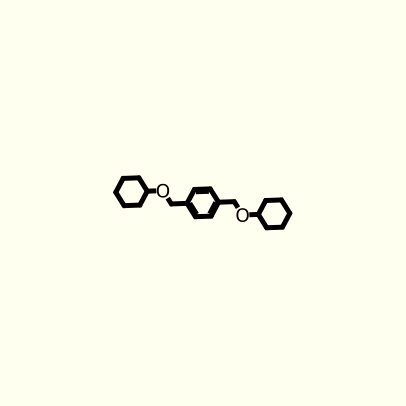 c1cc(COC2CCCCC2)ccc1COC1CCCCC1